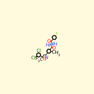 Cc1cc(C2=NOC(c3cc(Cl)cc(Cl)c3)(C(F)(F)F)C2)ccc1C(=O)NNC(=O)c1ccc(F)cc1